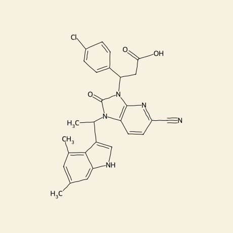 Cc1cc(C)c2c(C(C)n3c(=O)n(C(CC(=O)O)c4ccc(Cl)cc4)c4nc(C#N)ccc43)c[nH]c2c1